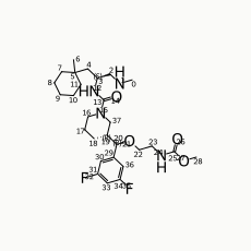 CNC[C@H](CC1(C)CCCCC1)NC(=O)N1CCC[C@@H]([C@@H](OCCNC(=O)OC)c2cc(F)cc(F)c2)C1